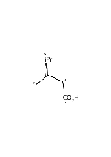 CC(C)[C@H](C)CC(=O)O